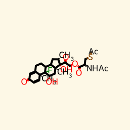 CC(=O)NC(CSC(C)=O)C(=O)OCC(=O)[C@@]1(O)[C@H](C)CC2C3CCC4=CC(=O)C=C[C@]4(C)[C@@]3(F)[C@@H](O)C[C@@]21C